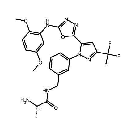 COc1ccc(OC)c(Nc2nnc(-c3cc(C(F)(F)F)nn3-c3cccc(CNC(=O)[C@H](C)N)c3)o2)c1